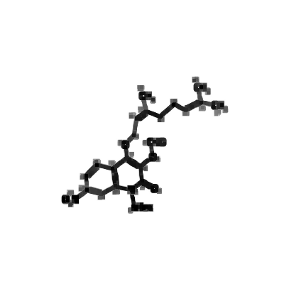 CCCCCCn1c(=O)c(OC=O)c(OCC=C(C)CCC=C(C)C)c2ccc([N+](=O)[O-])cc21